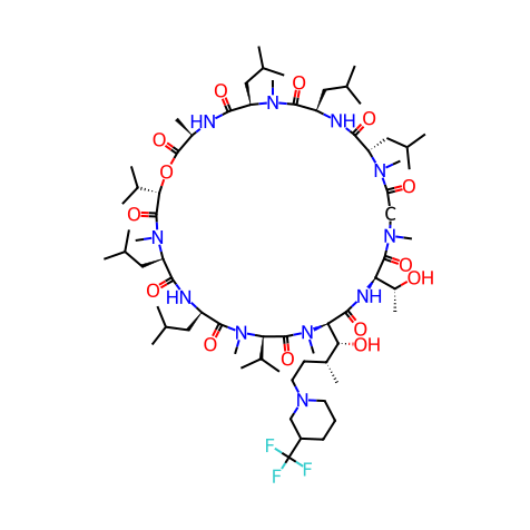 CC(C)C[C@@H]1C(=O)N[C@H](CC(C)C)C(=O)N(C)[C@H](C(C)C)C(=O)N(C)[C@H]([C@H](O)[C@H](C)CCN2CCCC(C(F)(F)F)C2)C(=O)N[C@H]([C@@H](C)O)C(=O)N(C)CC(=O)N(C)[C@@H](CC(C)C)C(=O)N[C@H](CC(C)C)C(=O)N(C)[C@H](CC(C)C)C(=O)N[C@H](C)C(=O)O[C@@H](C(C)C)C(=O)N1C